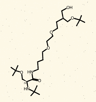 CC(C)(C)N[C@@H](COC(C)(C)C)C(=O)NCCCCOCCOCCC(CO)COC(C)(C)C